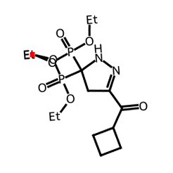 CCOP(=O)(OCC)C1(P(=O)(OCC)OCC)CC(C(=O)C2CCC2)=NN1